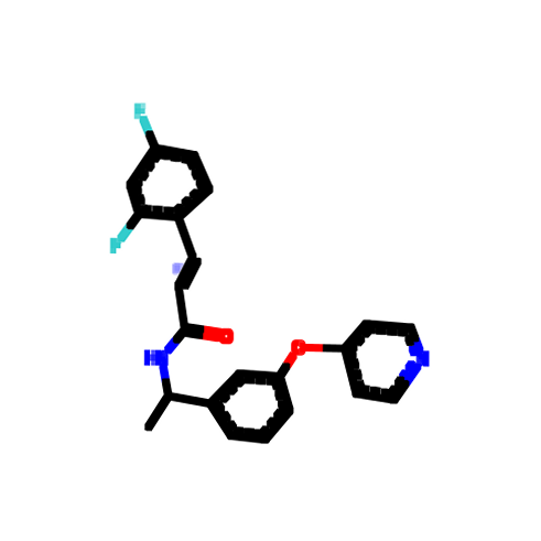 CC(NC(=O)/C=C/c1ccc(F)cc1F)c1cccc(Oc2ccncc2)c1